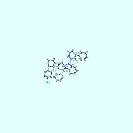 Clc1cccc(S(c2ccccc2)(c2ccccc2)c2ccc3c(c2)c2ccccc2n3-c2nccc3c2sc2ccccc23)c1